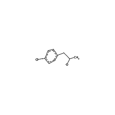 CC([O])Cc1ccc(Cl)cc1